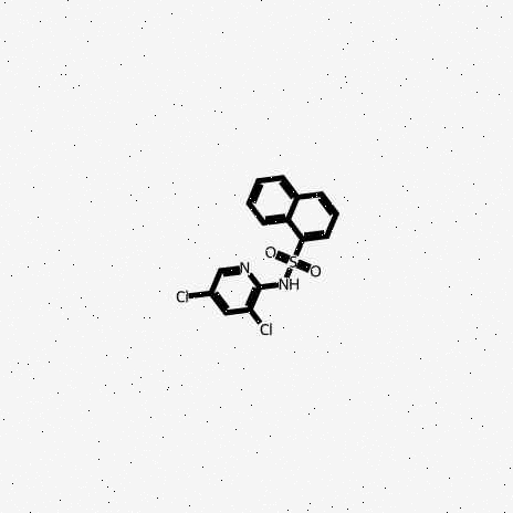 O=S(=O)(Nc1ncc(Cl)cc1Cl)c1cccc2ccccc12